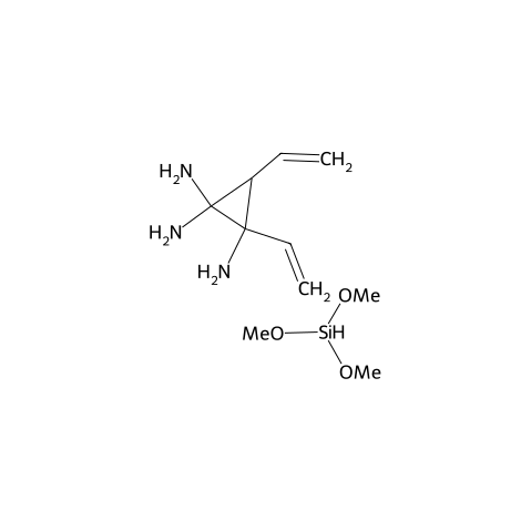 C=CC1C(N)(N)C1(N)C=C.CO[SiH](OC)OC